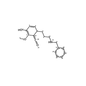 COC1=C(O)C=CC(CCCNCc2ccccc2)C1=C=O